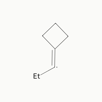 CC[C]=C1CCC1